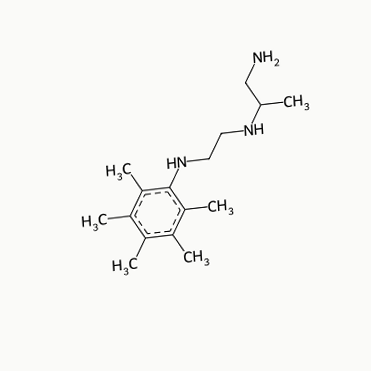 Cc1c(C)c(C)c(NCCNC(C)CN)c(C)c1C